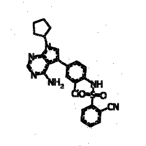 N#Cc1ccccc1S(=O)(=O)Nc1ccc(-c2cn(C3CCCC3)c3ncnc(N)c23)cc1Cl